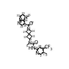 Cc1cnc(NC(=O)N(C)C2CC3(C2)CN(C(=O)c2cnn4ccn(C)c24)C3)cc1C(F)(F)F